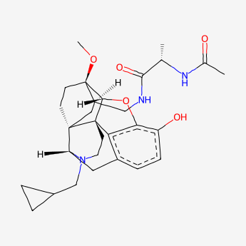 CO[C@]12CC[C@@]3(C[C@@H]1CNC(=O)[C@H](C)NC(C)=O)[C@H]1Cc4ccc(O)c5c4[C@@]3(CCN1CC1CC1)[C@H]2O5